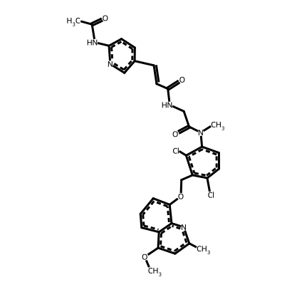 COc1cc(C)nc2c(OCc3c(Cl)ccc(N(C)C(=O)CNC(=O)/C=C/c4ccc(NC(C)=O)nc4)c3Cl)cccc12